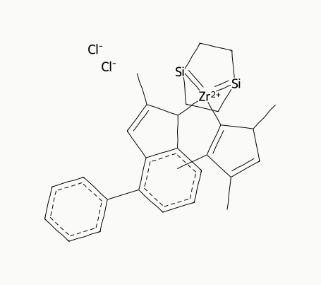 CC1=CC(C)[C]([Zr+2]2([CH]3C(C)=Cc4c(-c5ccccc5)cccc43)=[Si]3CC[Si]=2CC3)=C1C.[Cl-].[Cl-]